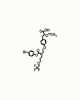 CCOC(Cc1ccc(OCCN(CCCOCC(F)(F)F)C(=O)Oc2ccc(Br)cc2)cc1)C(=O)O